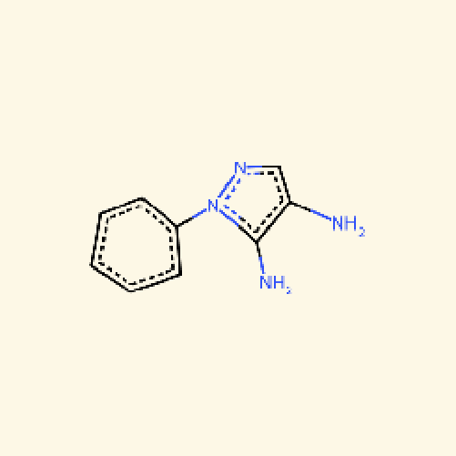 Nc1cnn(-c2ccccc2)c1N